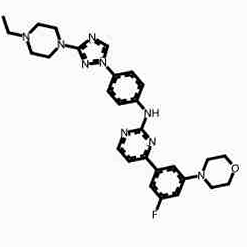 CCN1CCN(c2ncn(-c3ccc(Nc4nccc(-c5cc(F)cc(N6CCOCC6)c5)n4)cc3)n2)CC1